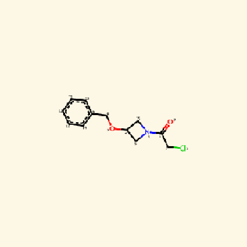 O=C(CCl)N1CC(OCc2ccccc2)C1